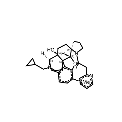 COc1ccc2c3c1O[C@H]1[C@@]4(CCCN4C(=O)Cc4ccccn4)CC[C@@]4(O)[C@@H](C2)N(CC2CC2)CC[C@]314